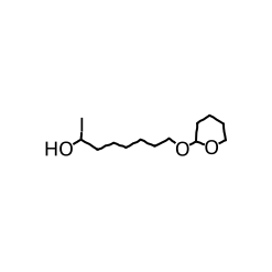 OC(I)CCCCCCOC1CCCCO1